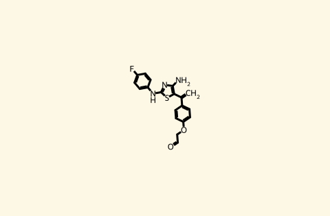 C=C(c1ccc(OCC=O)cc1)c1sc(Nc2ccc(F)cc2)nc1N